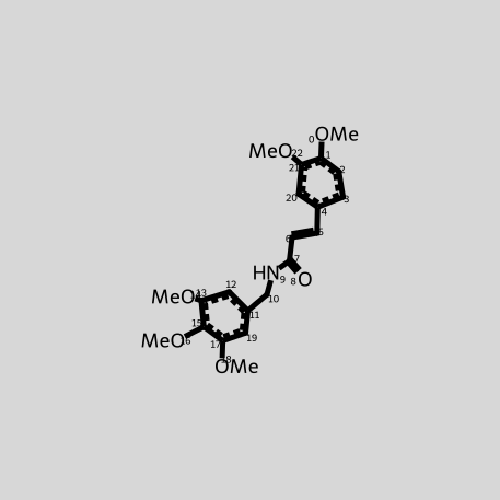 COc1ccc(C=CC(=O)NCc2cc(OC)c(OC)c(OC)c2)cc1OC